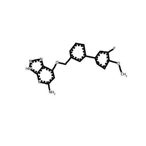 COc1ccc(-c2cccc(COc3cc(N)nc4[nH]nnc34)c2)cc1F